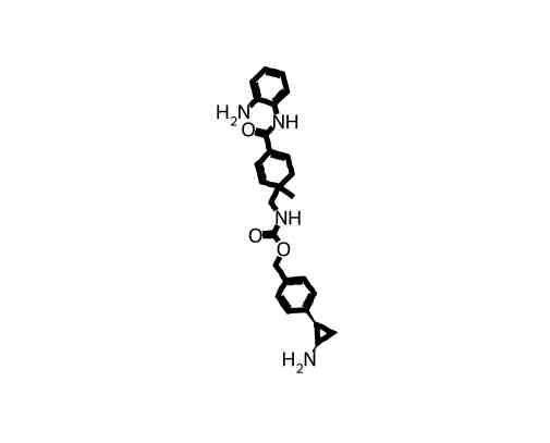 CC1(CNC(=O)OCc2ccc([C@H]3C[C@@H]3N)cc2)C=CC(C(=O)Nc2ccccc2N)=CC1